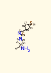 C=C(N)C1CCN(c2ncc(-c3ccc(SC)cc3)s2)CC1